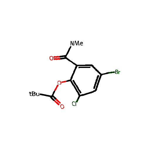 CNC(=O)c1cc(Br)cc(Cl)c1OC(=O)C(C)(C)C